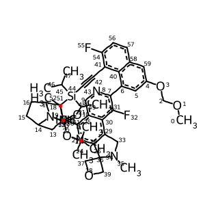 COCOc1cc(-c2ncc3c(N4CC5CCC(C4)N5C(=O)OC(C)(C)C)nc4c(c3c2F)CN(C)C42COC2)c2c(C#C[Si](C(C)C)(C(C)C)C(C)C)c(F)ccc2c1